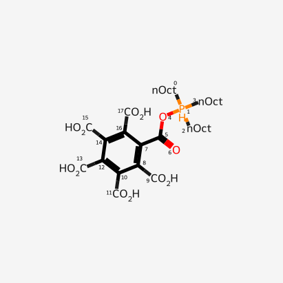 CCCCCCCC[PH](CCCCCCCC)(CCCCCCCC)OC(=O)c1c(C(=O)O)c(C(=O)O)c(C(=O)O)c(C(=O)O)c1C(=O)O